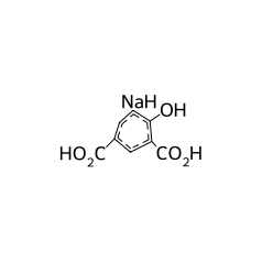 O=C(O)c1ccc(O)c(C(=O)O)c1.[NaH]